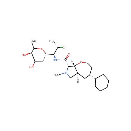 CSC1O[C@H]([C@H](NC(=O)[C@@H]2[C@@H]3OCC[C@H](C4CCCCC4)C[C@H]3CN2C)[C@H](C)Cl)CC(O)[C@H]1O